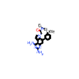 CCN(CC)C(=O)Cn1ccc2c3c(N)nc(N)nc3cc(-c3cccc(OC)c3)c21